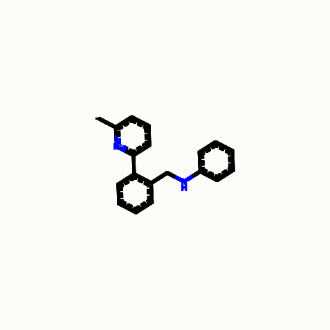 [CH2]c1cccc(-c2ccccc2CNc2ccccc2)n1